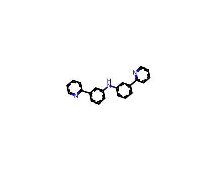 c1ccc(-c2cccc(Nc3cccc(-c4ccccn4)c3)c2)nc1